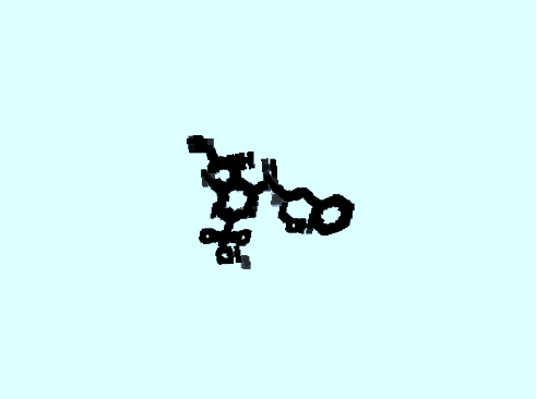 CC(C)(C)c1nc2nc(S(C)(=O)=O)nc(N[C@@H](CO)Cc3ccccc3)c2[nH]1